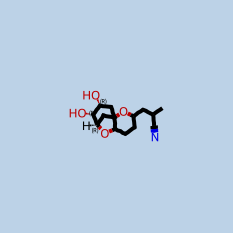 CC(C#N)CC1CCC2O[C@@H]3CC2(C[C@@H](O)[C@H]3O)O1